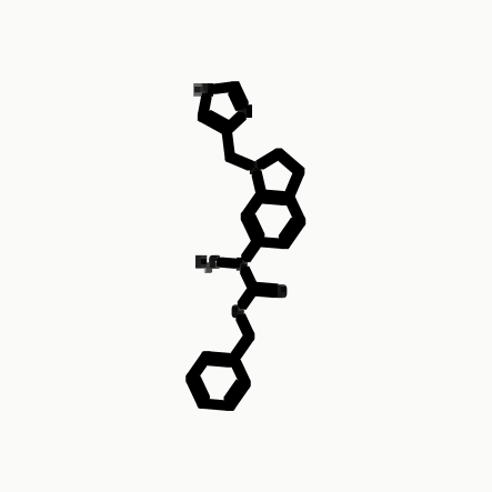 CN(C(=O)OCc1ccccc1)c1ccc2c(c1)N(Cc1c[nH]cn1)CC2